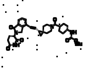 CC(C)(C)OC(=O)NC1CCC(C(=O)N2CCC3(CC2)C[C@@H]3C#Cc2cccc3c2CN(C2CCC(=O)NC2=O)C3=O)CC1